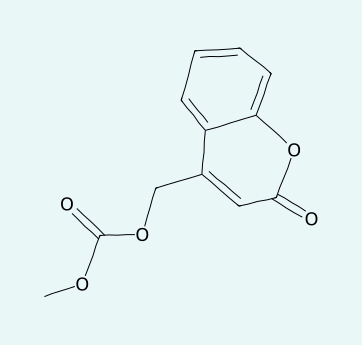 COC(=O)OCc1cc(=O)oc2ccccc12